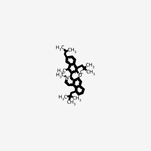 Cc1c2c(c(CC(C)(C)C)c3ccc(CC(C)C)cc13)Oc1cc3cccc(CC(C)(C)C)c3c3cc[n+](C)c-2c13